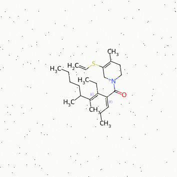 C=CSC1=C(C)CCN(C(=O)C(=C/CC)/C(CC)=C(\C)C(C)CCCC)C1